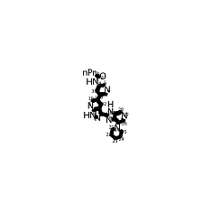 CCCC(=O)Nc1cncc(-c2cnc3[nH]nc(-c4nc5c(N6CCCCC6)cncc5[nH]4)c3c2)c1